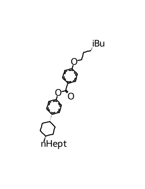 CCCCCCC[C@H]1CC[C@H](c2ccc(OC(=O)c3ccc(OCCC[C@@H](C)CC)cc3)cc2)CC1